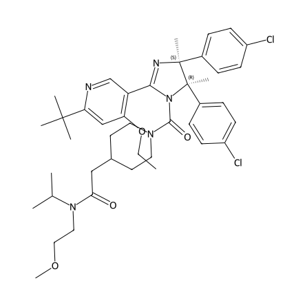 CCOc1cc(C(C)(C)C)ncc1C1=N[C@@](C)(c2ccc(Cl)cc2)[C@@](C)(c2ccc(Cl)cc2)N1C(=O)N1CCC(CC(=O)N(CCOC)C(C)C)CC1